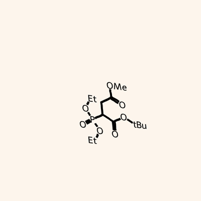 CCOP(=O)(OCC)C(CC(=O)OC)C(=O)OC(C)(C)C